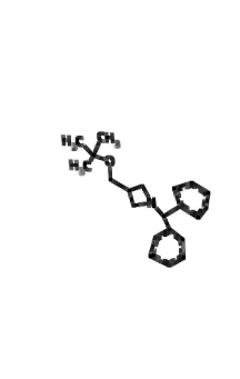 CC(C)(C)OCC1CN(C(c2ccccc2)c2ccccc2)C1